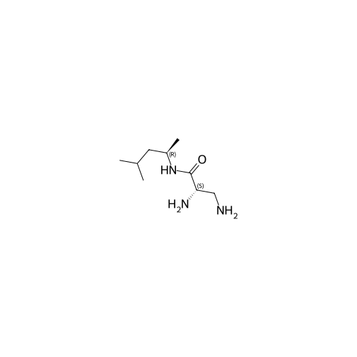 CC(C)C[C@@H](C)NC(=O)[C@@H](N)CN